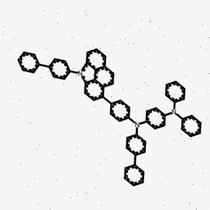 c1ccc(-c2ccc(N(c3ccc(-c4ccc5c6c4ccc4cccc(c46)n5-c4ccc(-c5ccccc5)cc4)cc3)c3ccc(N(c4ccccc4)c4ccccc4)cc3)cc2)cc1